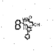 C[C@@H](NCC1CCN(c2ccccc2)C1)c1cccc2ccccc12.O=C(O)C=CC(=O)O